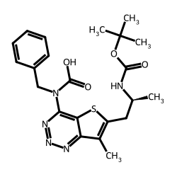 Cc1c(C[C@H](C)NC(=O)OC(C)(C)C)sc2c(N(Cc3ccccc3)C(=O)O)nnnc12